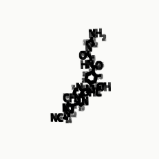 Cc1cc(Nc2nccn3c(-c4cn(CC#N)nc4C(F)(F)F)cnc23)ccc1C(=O)NCC(=O)N1CC(N)C1.O=CO